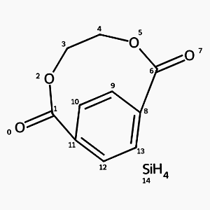 O=C1OCCOC(=O)c2ccc1cc2.[SiH4]